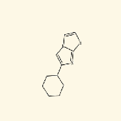 c1cn2cc(C3CCCCC3)nc2s1